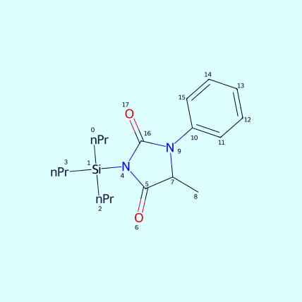 CCC[Si](CCC)(CCC)N1C(=O)C(C)N(c2ccccc2)C1=O